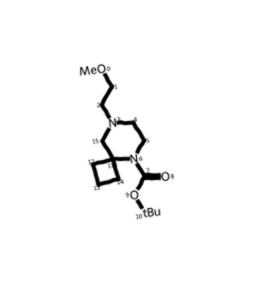 COCCN1CCN(C(=O)OC(C)(C)C)C2(CCC2)C1